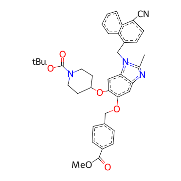 COC(=O)c1ccc(COc2cc3nc(C)n(Cc4ccc(C#N)c5ccccc45)c3cc2OC2CCN(C(=O)OC(C)(C)C)CC2)cc1